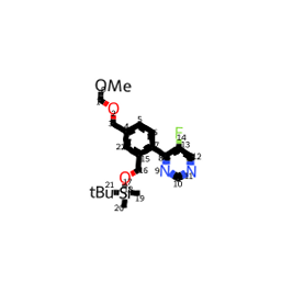 COCOCc1ccc(-c2ncncc2F)c(CO[Si](C)(C)C(C)(C)C)c1